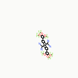 N#CC(C#N)=C1C2=C(C(=C(C#N)C#N)c3cc(-c4cc(OC(F)(F)F)c(OC(F)(F)F)c(OC(F)(F)F)c4)ccc32)c2ccc(-c3cc(OC(F)(F)F)c(OC(F)(F)F)c(OC(F)(F)F)c3)cc21